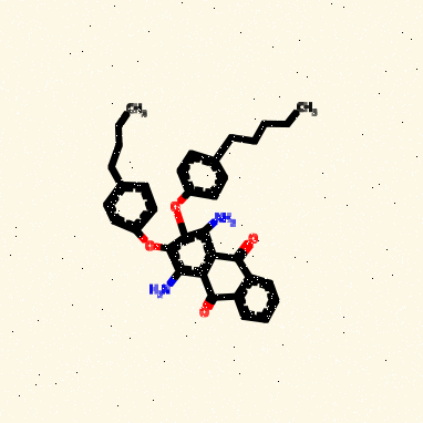 CCCCCc1ccc(Oc2c(N)c3c(c(N)c2Oc2ccc(CCCC)cc2)C(=O)c2ccccc2C3=O)cc1